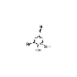 N#Cc1cc(O)c(O)c(Br)c1